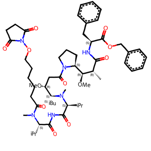 CC[C@H](C)[C@@H]([C@@H](CC(=O)N1CCC[C@H]1[C@H](OC)[C@@H](C)C(=O)N[C@@H](Cc1ccccc1)C(=O)OCc1ccccc1)OC)N(C)[C@H](C(=O)NC(=O)[C@H](C(C)C)N(C)C(=O)CCCCCON1C(=O)CCC1=O)C(C)C